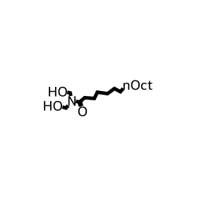 CCCCCCCCCCCCCCC(=O)N(CO)CO